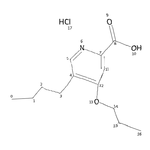 CCCCc1cnc(C(=O)O)cc1OCCC.Cl